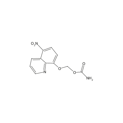 NC(=O)OCOc1ccc([N+](=O)[O-])c2cccnc12